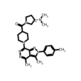 Cc1ccc(-n2nc3c(N4CCC(C(=O)N5CC[C@H](N(C)C)C5)CC4)nnc(C)c3c2C)cc1